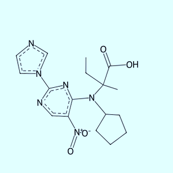 CCC(C)(C(=O)O)N(c1nc(-n2ccnc2)ncc1[N+](=O)[O-])C1CCCC1